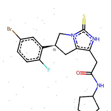 O=C(Cc1[nH]c(=S)n2c1C[C@@H](c1cc(Br)ccc1F)C2)NC1CCCC1